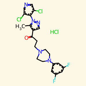 Cc1c(C(=O)CCN2CCN(c3cc(F)cc(F)c3)CC2)cnn1-c1c(Cl)cncc1Cl.Cl